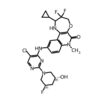 Cn1c(=O)c2c(c3cc(Nc4nc(N5C[C@H](O)C[C@@H](F)C5)ncc4Cl)ccc31)NC(C1CC1)C(F)(F)CO2